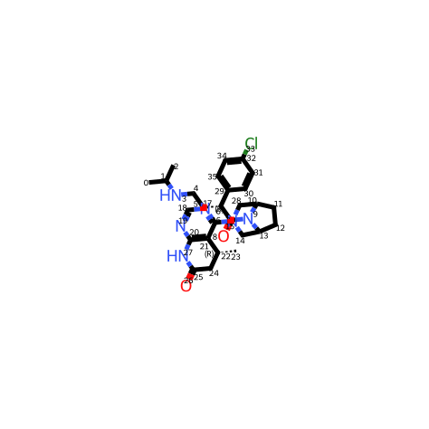 CC(C)NCC[C@@H](C(=O)N1C2CCC1CN(c1ncnc3c1[C@H](C)CC(=O)N3)C2)c1ccc(Cl)cc1